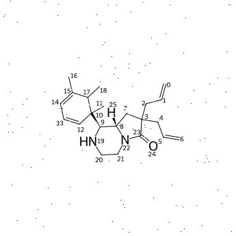 C=CCC1(CC=C)C[C@H]2[C@H](C3(C)C=CC=C(C)C3C)NCCN2C1=O